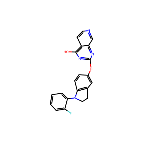 Oc1nc(Oc2ccc3c(c2)CCN3c2ccccc2F)nc2cnccc12